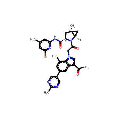 CC(=O)c1cn(CC(=O)N2[C@H](C(=O)Nc3cc(C)cc(Br)n3)C[C@@]3(C)C[C@@H]23)c2c(C)cc(-c3cnc(C)nc3)cc12